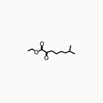 CCOC(=O)C(=O)CCCCC(C)C